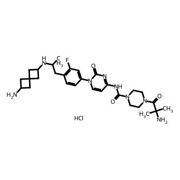 CC(Cc1ccc(-n2ccc(NC(=O)N3CCN(C(=O)C(C)(C)N)CC3)nc2=O)cc1F)NC1CC2(CC(N)C2)C1.Cl